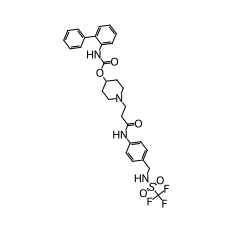 O=C(CCN1CCC(OC(=O)Nc2ccccc2-c2ccccc2)CC1)Nc1ccc(CNS(=O)(=O)C(F)(F)F)cc1